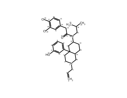 C=CCN1CCC2(c3cccc(O)c3)CC(N(CC(C)C)C(=O)Cc3ccc(Cl)c(Cl)c3)CCC2C1